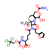 CO[C@@]1(N(C(=O)CCCC(NC(=O)OCC(Cl)(Cl)Cl)C(=O)O)C(=O)Cc2ccco2)C(=O)N2C(C(=O)O)=C(COC(N)=O)CS[C@H]21